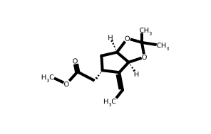 C/C=C1\[C@H](CC(=O)OC)C[C@H]2OC(C)(C)O[C@@H]12